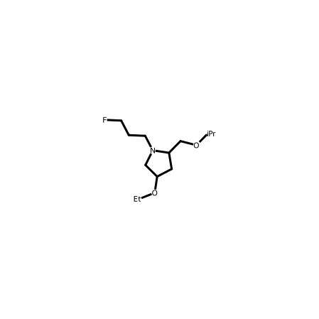 CCOC1CC(COC(C)C)N(CCCF)C1